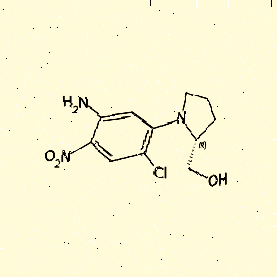 Nc1cc(N2CCC[C@@H]2CO)c(Cl)cc1[N+](=O)[O-]